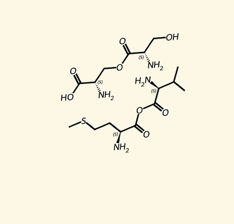 CSCC[C@H](N)C(=O)OC(=O)[C@@H](N)C(C)C.N[C@@H](COC(=O)[C@@H](N)CO)C(=O)O